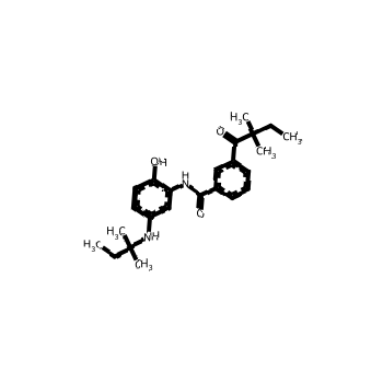 CCC(C)(C)Nc1ccc(O)c(NC(=O)c2cccc(C(=O)C(C)(C)CC)c2)c1